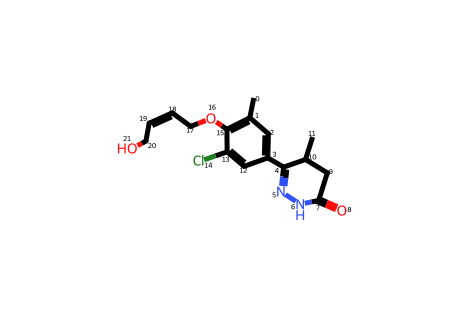 Cc1cc(C2=NNC(=O)CC2C)cc(Cl)c1OC/C=C\CO